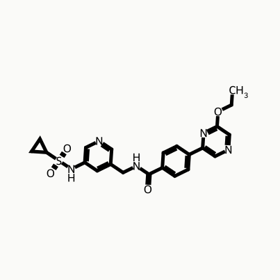 CCOc1cncc(-c2ccc(C(=O)NCc3cncc(NS(=O)(=O)C4CC4)c3)cc2)n1